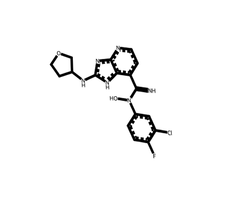 N=C(c1ccnc2nc(NC3CCOC3)[nH]c12)N(O)c1ccc(F)c(Cl)c1